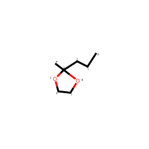 [CH2]CCC1(C)OCCO1